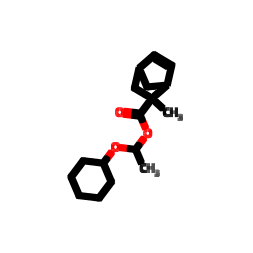 CC(OC(=O)C1(C)CC2C=CC1C2)OC1CCCCC1